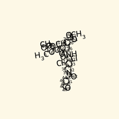 COC(=O)C(C)OC(=O)OC(C)OC(=O)C(Cc1cccc(S(C)(=O)=O)c1)NC(=O)c1c(Cl)cc2c(c1Cl)CCN(C(=O)c1ccc3ccoc3c1)C2